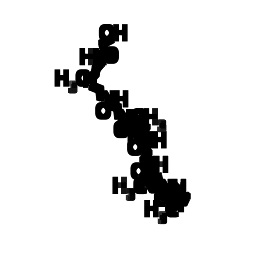 CN(CCCNC(=O)CCO)CCCNC(=O)CCNC(=O)c1nc(NC(=O)CCNC(=O)c2cc(NC(=O)c3nccn3C)cn2C)cn1C